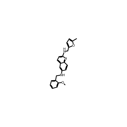 COc1ccccc1CNc1ccc2nc(NCc3ccc(C)o3)ccc2c1